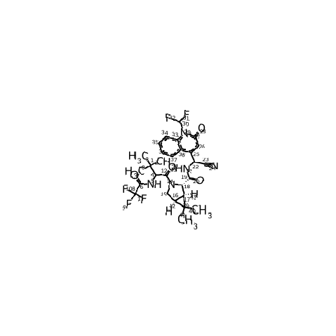 CC(C)(C)C(NC(=O)C(F)(F)F)C(=O)N1C[C@H]2[C@@H]([C@H]1C(=O)NC(C#N)c1cc(=O)n(C(F)F)c3ccccc13)C2(C)C